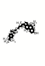 CC[C@H]1[C@@H](O)[C@H]2C3CC[C@H]([C@H](C)CCCOC(=O)NS(=O)(=O)c4ccc(C(C)(C)C)cc4)[C@@]3(C)CCC2[C@@]2(C)CC[C@@H](O)C[C@@H]12